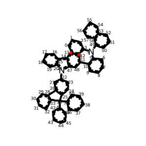 c1ccc(N(c2ccccc2-c2ccc3c4ccccc4n(-c4ccc5c(c4)-c4ccccc4C5(c4ccccc4)c4ccccc4)c3c2)c2cccc3ccccc23)cc1